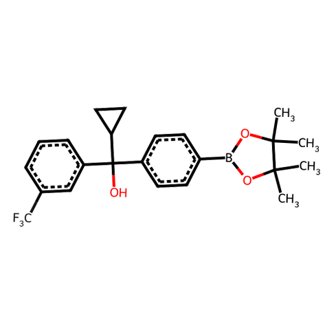 CC1(C)OB(c2ccc(C(O)(c3cccc(C(F)(F)F)c3)C3CC3)cc2)OC1(C)C